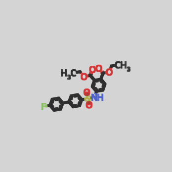 CCOC(=O)c1ccc(NS(=O)(=O)c2ccc(-c3ccc(F)cc3)cc2)cc1C(=O)OCC